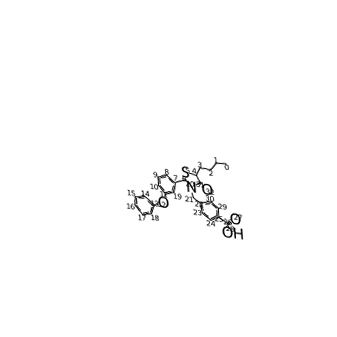 CCCCC1SC(c2cccc(Oc3ccccc3)c2)N(Cc2ccc(C(=O)O)cc2)C1=O